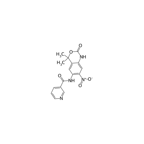 CC1(C)OC(=O)Nc2cc([N+](=O)[O-])c(NC(=O)c3cccnc3)cc21